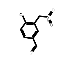 O=Cc1ccc(Cl)c(C[SH](=O)=O)c1